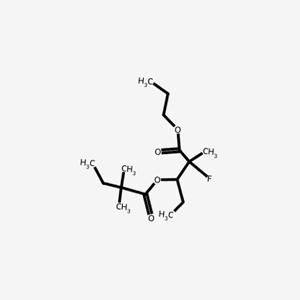 CCCOC(=O)C(C)(F)C(CC)OC(=O)C(C)(C)CC